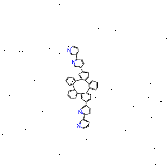 c1cncc(-c2ccc(-c3ccc4c5ccccc5c5ccc(-c6ccc(-c7cccnc7)nc6)cc5c5ccccc5c5ccccc5c4c3)cn2)c1